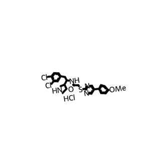 COc1ccc(-c2cnc(SCC(=O)NC(Cc3ccc(Cl)c(Cl)c3)C3CCNC3)nc2)cc1.Cl